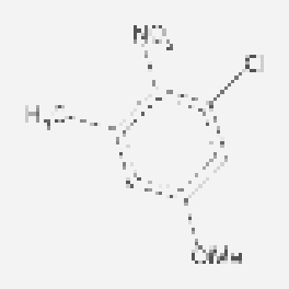 COc1cc(C)c([N+](=O)[O-])c(Cl)c1